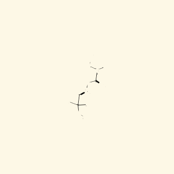 CCOC(C)(C)C=NOC(=O)N(C)SC(Cl)(Cl)Cl